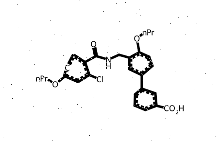 CCCOc1ccc(C(=O)NCc2cc(-c3cccc(C(=O)O)c3)ccc2OCCC)c(Cl)c1